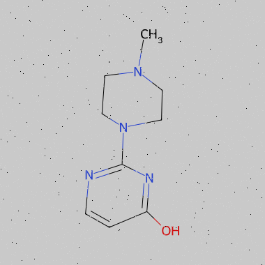 CN1CCN(c2nccc(O)n2)CC1